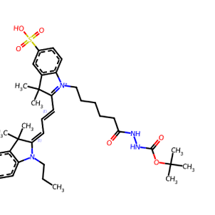 CCCN1/C(=C/C=C/C2=[N+](CCCCCC(=O)NNC(=O)OC(C)(C)C)c3ccc(S(=O)(=O)O)cc3C2(C)C)C(C)(C)c2ccccc21